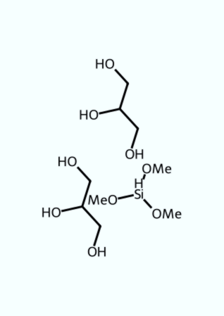 CO[SiH](OC)OC.OCC(O)CO.OCC(O)CO